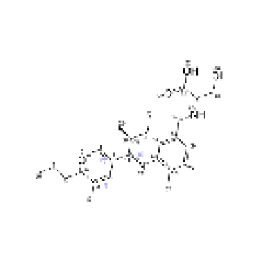 C/C=C(\C=C(\C)C(=O)CCC)C(=N/c1cc(CNC(CO)C(=O)O)ccc1C)/[C@@H](C)CC